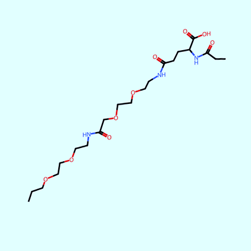 CCCOCCOCCNC(=O)COCCOCCNC(=O)CCC(NC(=O)CC)C(=O)O